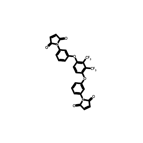 O=C1C=CC(=O)N1c1cccc(Oc2ccc(Oc3cccc(N4C(=O)C=CC4=O)c3)c(C(F)(F)F)c2C(F)(F)F)c1